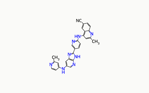 Cc1cc(Nc2cnc3[nH]c(-c4ccc(Nc5cc(C)nc6ccc(C#N)cc56)nc4)nc3c2)ccn1